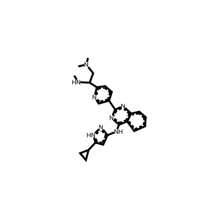 CNC(CN(C)C)c1ccc(-c2nc(Nc3cc(C4CC4)[nH]n3)c3ccccc3n2)cn1